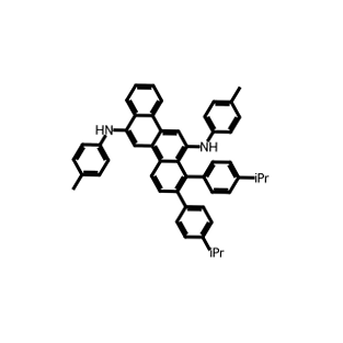 Cc1ccc(Nc2cc3c4ccc(-c5ccc(C(C)C)cc5)c(-c5ccc(C(C)C)cc5)c4c(Nc4ccc(C)cc4)cc3c3ccccc23)cc1